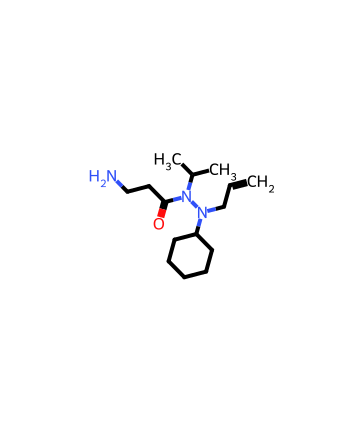 C=CCN(C1CCCCC1)N(C(=O)CCN)C(C)C